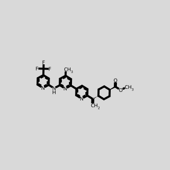 C=C(c1ccc(-c2cc(C)cc(Nc3cc(C(F)(F)F)ccn3)n2)cn1)[C@H]1CC[C@H](C(=O)OC)CC1